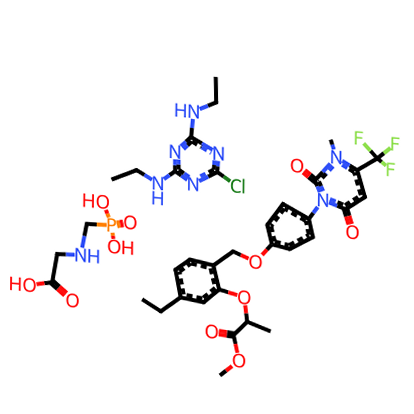 CCNc1nc(Cl)nc(NCC)n1.CCc1ccc(COc2ccc(-n3c(=O)cc(C(F)(F)F)n(C)c3=O)cc2)c(OC(C)C(=O)OC)c1.O=C(O)CNCP(=O)(O)O